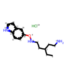 CCC(CCN)CCNOc1ccc2[nH]ccc2c1.Cl